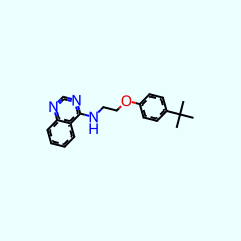 CC(C)(C)c1ccc(OCCNc2ncnc3ccccc23)cc1